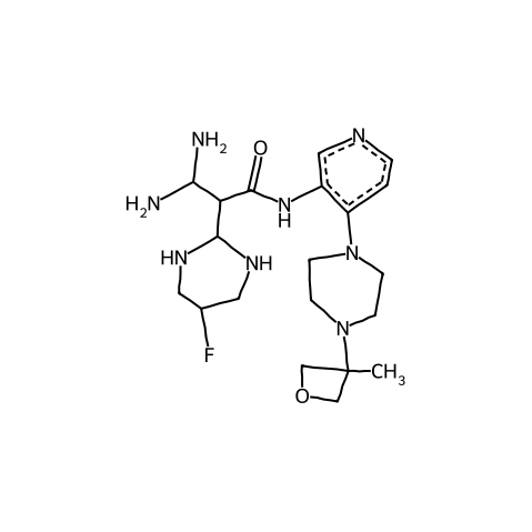 CC1(N2CCN(c3ccncc3NC(=O)C(C(N)N)C3NCC(F)CN3)CC2)COC1